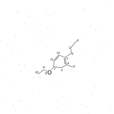 CCCC1=C(C)CC(OCC)C=C1